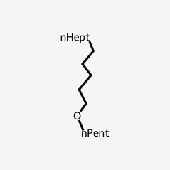 CCCCCCCCCCCCOCCCCC